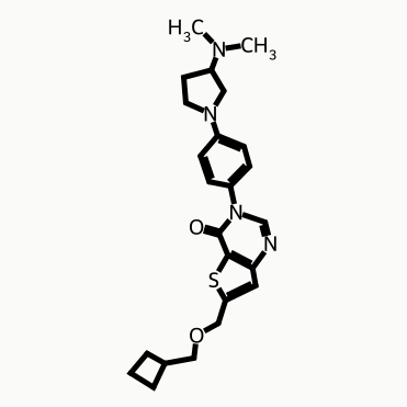 CN(C)C1CCN(c2ccc(-n3cnc4cc(COCC5CCC5)sc4c3=O)cc2)C1